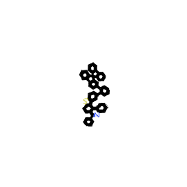 c1ccc(-c2nc3ccccc3c3c2ccc2sc4ccc(-c5ccccc5-c5ccc6c(c5)C5(c7ccccc7-c7ccccc75)c5ccccc5-6)cc4c23)cc1